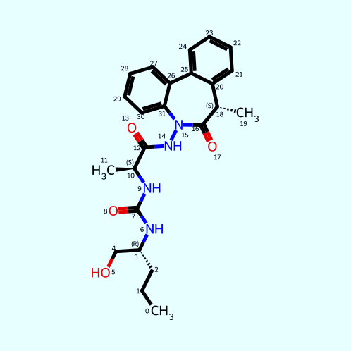 CCC[C@H](CO)NC(=O)N[C@@H](C)C(=O)NN1C(=O)[C@@H](C)c2ccccc2-c2ccccc21